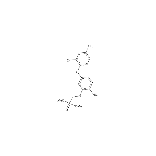 COP(=O)(COc1cc(Oc2ccc(C(F)(F)F)cc2Cl)ccc1[N+](=O)[O-])OC